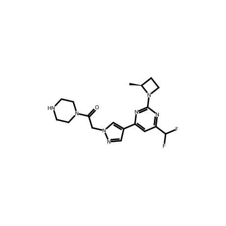 C[C@H]1CCN1c1nc(-c2cnn(CC(=O)N3CCNCC3)c2)cc(C(F)F)n1